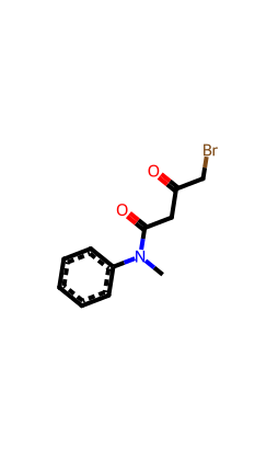 CN(C(=O)CC(=O)CBr)c1ccccc1